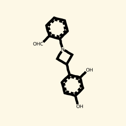 O=Cc1ccccc1N1CC(c2ccc(O)cc2O)C1